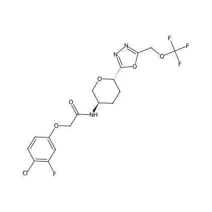 O=C(COc1ccc(Cl)c(F)c1)N[C@@H]1CC[C@@H](c2nnc(COC(F)(F)F)o2)OC1